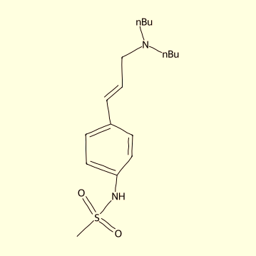 CCCCN(C/C=C/c1ccc(NS(C)(=O)=O)cc1)CCCC